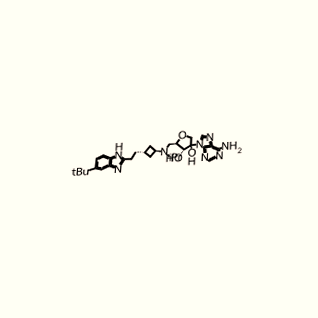 CC(C)N(C[C@H]1OC[C@](O)(n2cnc3c(N)ncnc32)[C@@H]1O)[C@H]1C[C@H](CCc2nc3cc(C(C)(C)C)ccc3[nH]2)C1